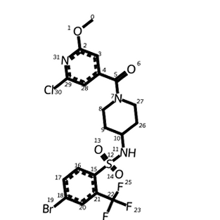 COc1cc(C(=O)N2CCC(NS(=O)(=O)c3ccc(Br)cc3C(F)(F)F)CC2)cc(Cl)n1